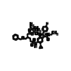 CCNC(=O)c1c(-c2ccc(F)cc2)oc2cc(NS(=O)(=O)CCC(COCc3ccccc3)CB3OC(C)(C)C(C)(C)O3)c(C3CC3)cc12